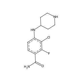 NC(=O)c1ccc(NC2CCNCC2)c(Cl)c1F